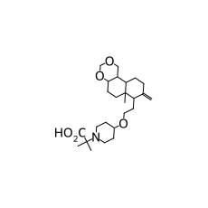 C=C1CCC2C3COCOC3CCC2(C)C1CCOC1CCN(C(C)(C)C(=O)O)CC1